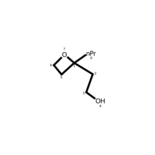 CCCC1(CCO)CCO1